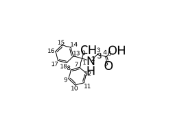 CC(NCC(=O)O)(c1ccccc1)c1ccccc1